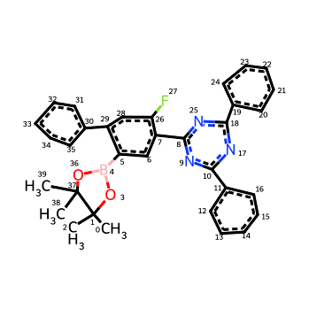 CC1(C)OB(c2cc(-c3nc(-c4ccccc4)nc(-c4ccccc4)n3)c(F)cc2-c2ccccc2)OC1(C)C